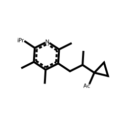 CC(=O)C1(C(C)Cc2c(C)nc(C(C)C)c(C)c2C)CC1